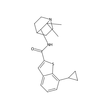 CC1(C)C(NC(=O)c2cc3cccc(C4CC4)c3s2)C2CCN1CC2